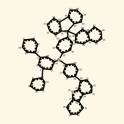 c1ccc(-c2cc(-c3ccccc3)cc(N(c3ccc(-c4cccc5c4sc4ccccc45)cc3)c3ccc(C4(c5ccc6ccccc6c5)c5ccccc5-c5ccccc54)cc3)c2)cc1